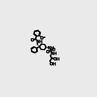 COc1ccccc1C(=O)NC[C@]1(c2ccccc2)CC[C@H](NS(=O)(=O)NC[C@@H](O)CO)CC1